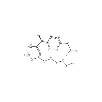 CC(C)Cc1ccc([C@H](C)C(=O)O)cc1.CCCCCCCCN